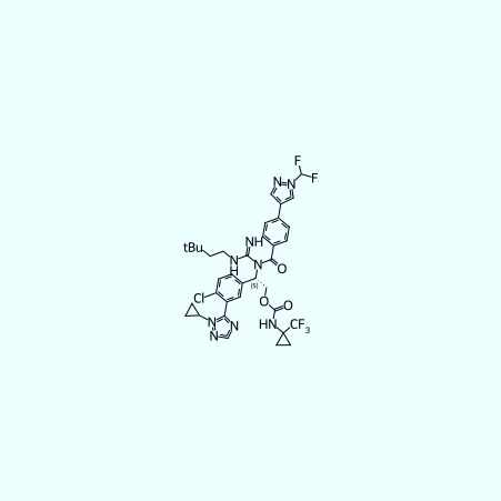 CC(C)(C)CCNC(=N)N(C(=O)c1ccc(-c2cnn(C(F)F)c2)cc1)[C@H](COC(=O)NC1(C(F)(F)F)CC1)c1ccc(Cl)c(-c2ncnn2C2CC2)c1